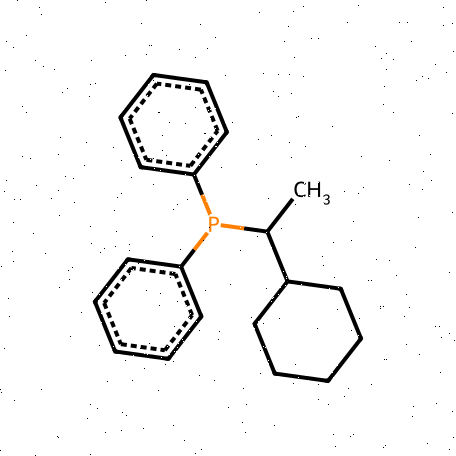 CC(C1CCCCC1)P(c1ccccc1)c1ccccc1